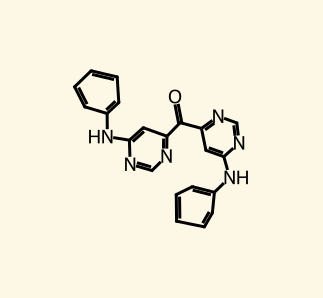 O=C(c1cc(Nc2ccccc2)ncn1)c1cc(Nc2ccccc2)ncn1